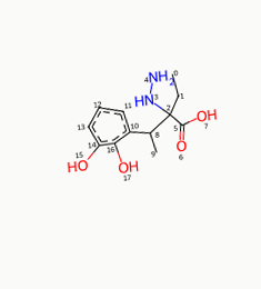 CCC(NN)(C(=O)O)C(C)c1cccc(O)c1O